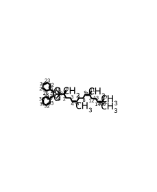 C=C(CCC=C(C)CCC=C(C)CCC=C(C)C)C1OC(c2ccccc2)C(c2ccccc2)O1